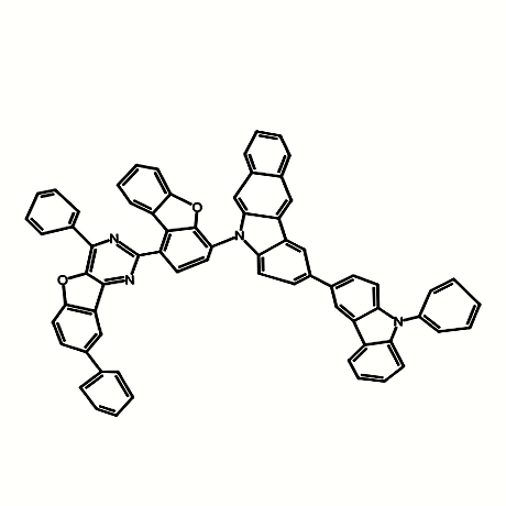 c1ccc(-c2ccc3oc4c(-c5ccccc5)nc(-c5ccc(-n6c7ccc(-c8ccc9c(c8)c8ccccc8n9-c8ccccc8)cc7c7cc8ccccc8cc76)c6oc7ccccc7c56)nc4c3c2)cc1